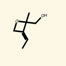 CC=C1COC1(C)CO